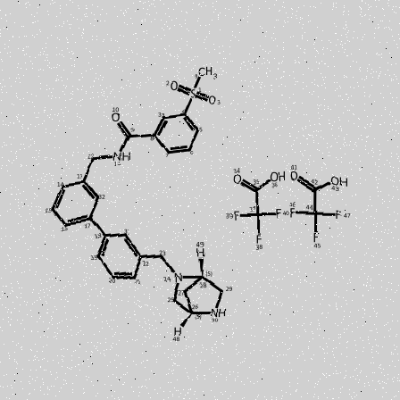 CS(=O)(=O)c1cccc(C(=O)NCc2cccc(-c3cccc(CN4C[C@@H]5C[C@H]4CN5)c3)c2)c1.O=C(O)C(F)(F)F.O=C(O)C(F)(F)F